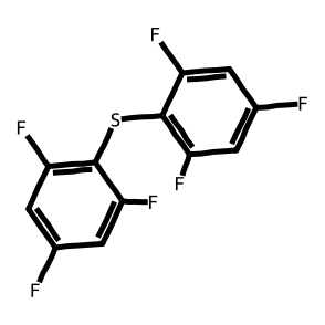 Fc1cc(F)c(Sc2c(F)cc(F)cc2F)c(F)c1